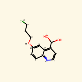 OC(O)c1ccnc2ccc(OCCCCl)cc12